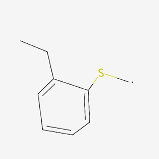 [CH2]Sc1ccccc1CC